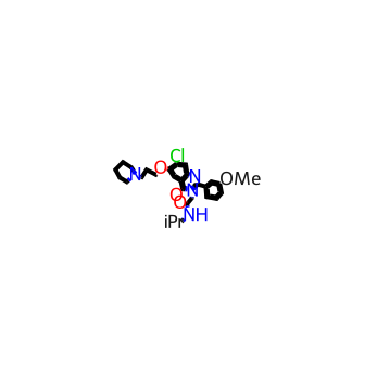 COc1cccc(-c2nc3cc(Cl)c(OCCCN4CCCCC4)cc3c(=O)n2CC(=O)NC(C)C)c1